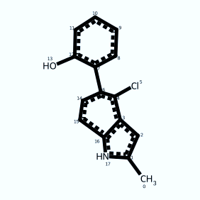 Cc1cc2c(Cl)c(-c3ccccc3O)ccc2[nH]1